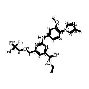 CCOC(=O)c1cc(COCC(F)(F)F)nc(Nc2ccc(-n3cnc(C)c3)c(OC)c2)n1